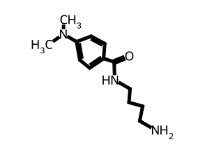 CN(C)c1ccc(C(=O)NCCCCN)cc1